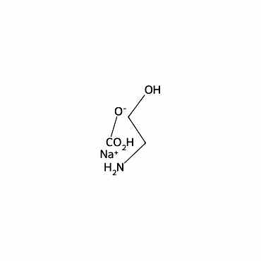 NCCO.O=C([O-])O.[Na+]